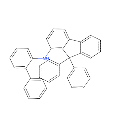 c1ccc(-c2ccccc2Nc2cccc3c2C(c2ccccc2)(c2ccccc2)c2ccccc2-3)cc1